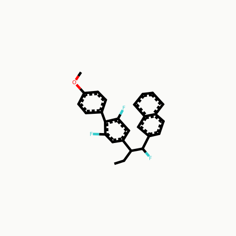 CCC(c1cc(F)c(-c2ccc(OC)cc2)c(F)c1)C(F)c1ccc2ccccc2c1